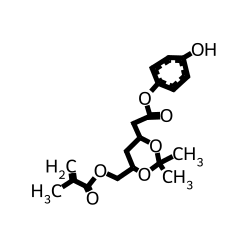 C=C(C)C(=O)OCC1CC(CC(=O)Oc2ccc(O)cc2)OC(C)(C)O1